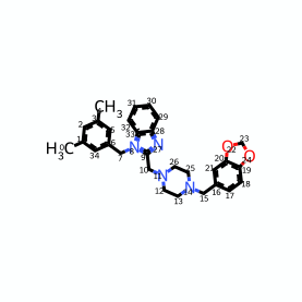 Cc1cc(C)cc(Cn2c(CN3CCN(Cc4ccc5c(c4)OCO5)CC3)nc3ccccc32)c1